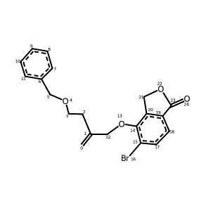 C=C(CCOCc1ccccc1)COc1c(Br)ccc2c1COC2=O